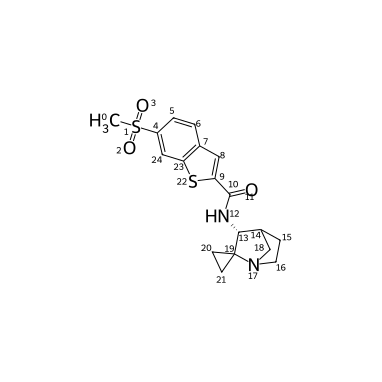 CS(=O)(=O)c1ccc2cc(C(=O)N[C@@H]3C4CCN(C4)C34CC4)sc2c1